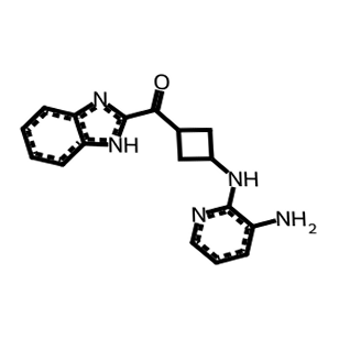 Nc1cccnc1NC1CC(C(=O)c2nc3ccccc3[nH]2)C1